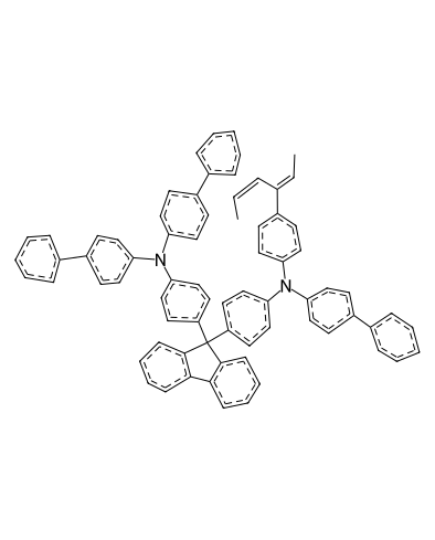 C/C=C\C(=C/C)c1ccc(N(c2ccc(-c3ccccc3)cc2)c2ccc(C3(c4ccc(N(c5ccc(-c6ccccc6)cc5)c5ccc(-c6ccccc6)cc5)cc4)c4ccccc4-c4ccccc43)cc2)cc1